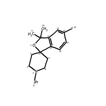 CC(C)N1CCC2(CC1)OC(C)(C)c1cc(F)ccc12